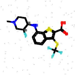 CN1CC[C@@H](Nc2cccc3c(SC(F)(F)F)c(C(=O)O)sc23)[C@@H](F)C1